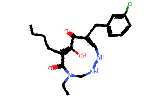 CCCC/C1=C(/O)C(=O)/C(Cc2cccc(Cl)c2)=C\NNCN(CC)C1=O